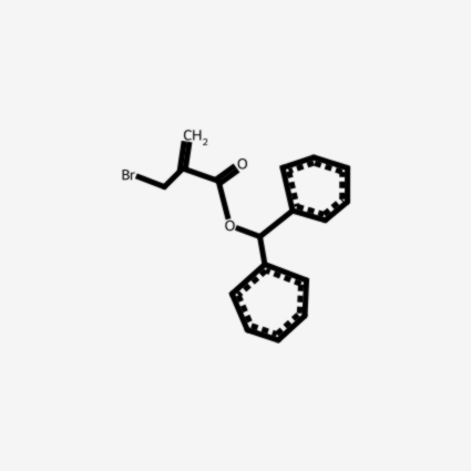 C=C(CBr)C(=O)OC(c1ccccc1)c1ccccc1